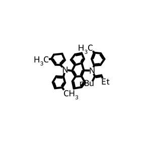 CC/C=C(\CCCC)N(c1cccc(C)c1)c1c2ccccc2c(N(C2=CCCC(C)=C2)c2cccc(C)c2)c2ccccc12